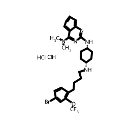 CN(C)c1nc(N[C@H]2CC[C@@H](NCCCCc3ccc(Br)cc3OC(F)(F)F)CC2)nc2ccccc12.Cl.Cl